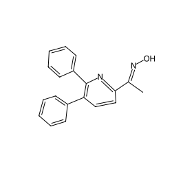 CC(=NO)c1ccc(-c2ccccc2)c(-c2ccccc2)n1